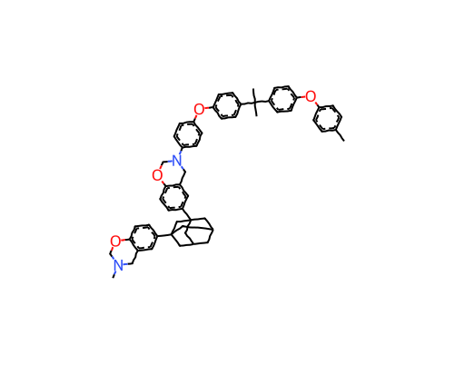 Cc1ccc(Oc2ccc(C(C)(C)c3ccc(Oc4ccc(N5COc6ccc(C78CC9CC(CC(c%10ccc%11c(c%10)CN(C)CO%11)(C9)C7)C8)cc6C5)cc4)cc3)cc2)cc1